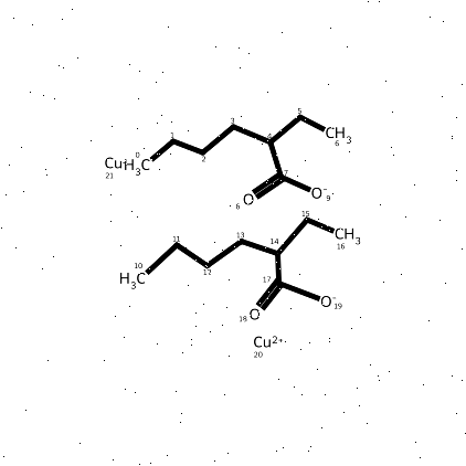 CCCCC(CC)C(=O)[O-].CCCCC(CC)C(=O)[O-].[Cu+2].[Cu]